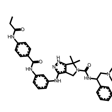 CCC(=O)Nc1ccc(C(=O)Nc2cccc(Nc3n[nH]c4c3CN(C(=O)NC(CN(C)C)c3ccccc3)C4(C)C)c2)cc1